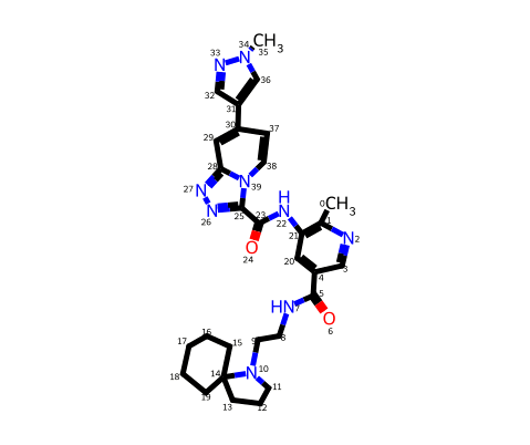 Cc1ncc(C(=O)NCCN2CCCC23CCCCC3)cc1NC(=O)c1nnc2cc(-c3cnn(C)c3)ccn12